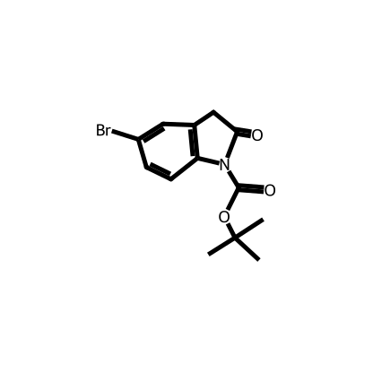 CC(C)(C)OC(=O)N1C(=O)Cc2cc(Br)ccc21